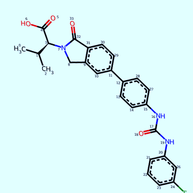 CC(C)[C@@H](C(=O)O)N1Cc2cc(-c3ccc(NC(=O)Nc4cccc(F)c4)cc3)ccc2C1=O